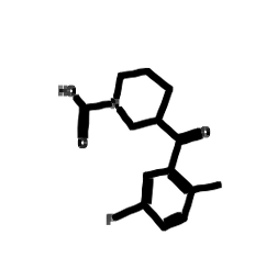 Cc1ccc(F)cc1C(=O)C1CCCN(C(=O)O)C1